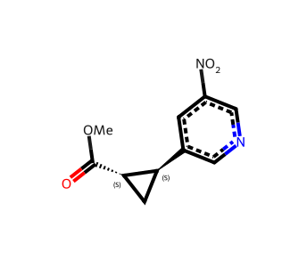 COC(=O)[C@H]1C[C@@H]1c1cncc([N+](=O)[O-])c1